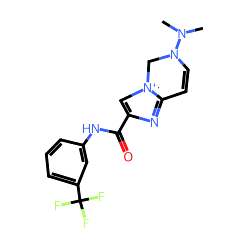 CN(C)N1C=CC2=NC(C(=O)Nc3cccc(C(F)(F)F)c3)=C[N+]2C1